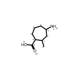 CC1CC(N)CCCC1C(=O)O